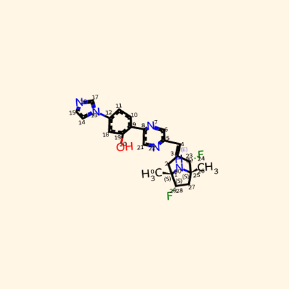 C[C@]12C/C(=C\c3cnc(-c4ccc(-n5ccnc5)cc4O)cn3)[C@H](F)[C@](C)(C[C@@H]1F)N2